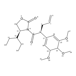 C=CC[C@H](C(=O)N1C(=O)OC[C@@H]1C(CC)CC)C1=CC(OC)C(OC)C(OC)=C1